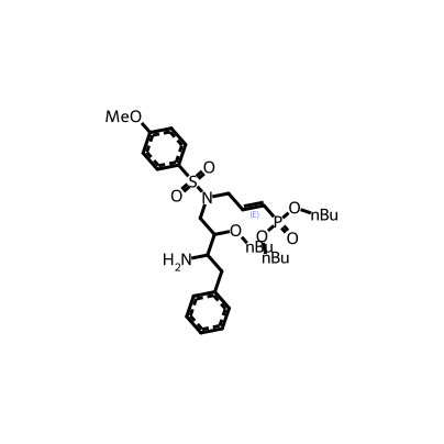 CCCCOC(CN(C/C=C/P(=O)(OCCCC)OCCCC)S(=O)(=O)c1ccc(OC)cc1)C(N)Cc1ccccc1